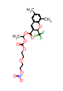 Cc1cc(C)c2c(c1)C=C(C(=O)OC(C)OC(=O)OCCOCCO[N+](=O)[O-])C(C(F)(F)F)O2